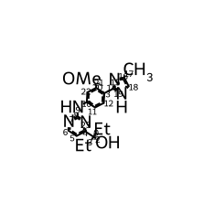 CCC(O)(CC)c1ccnc(Nc2ccc(-c3nc(C)c[nH]3)c(OC)c2)n1